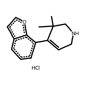 CC1(C)CNCC=C1c1cccc2ccoc12.Cl